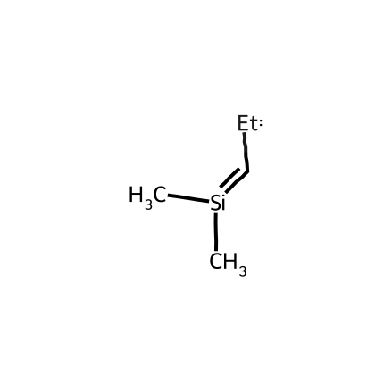 C[C]C=[Si](C)C